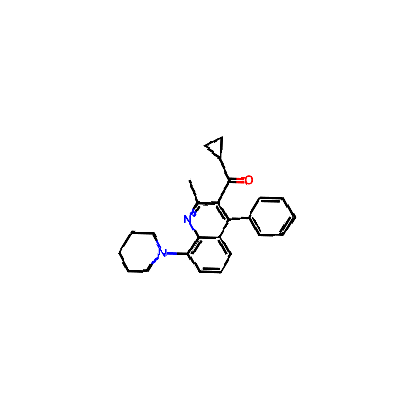 Cc1nc2c(N3CCCCC3)cccc2c(-c2ccccc2)c1C(=O)C1CC1